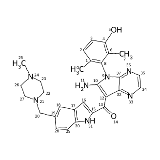 Cc1ccc(O)c(C)c1-n1c(N)c(C(=O)c2cc3cc(CN4CCN(C)CC4)ccc3[nH]2)c2nccnc21